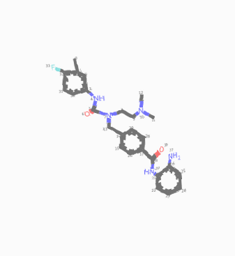 Cc1cc(NC(=O)N(CCN(C)C)Cc2ccc(C(=O)Nc3ccccc3N)cc2)ccc1F